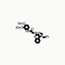 COc1ccc(NC(=O)CNc2nc3ccccc3c3c2ncn3CC(C)C)cc1OC